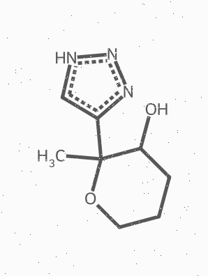 CC1(c2c[nH]nn2)OCCCC1O